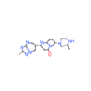 Cc1nc2ncc(-c3cc(=O)n4cc(N5C[C@H](C)N[C@@H](C)C5)ccc4n3)cn2n1